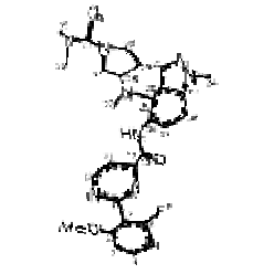 COc1cccc(F)c1-c1nccc(C(=O)Nc2ccc3c(cnn3C)c2N(C)[C@H]2CCN(C(=O)N(C)C)C2)n1